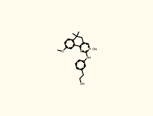 COc1ccc2c(c1)-c1nc(Nc3cccc(CCO)c3)ncc1CC2(C)C.Cl